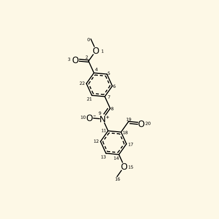 COC(=O)c1ccc(C=[N+]([O-])c2ccc(OC)cc2C=O)cc1